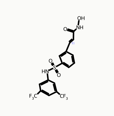 O=C(/C=C/c1cccc(S(=O)(=O)Nc2cc(C(F)(F)F)cc(C(F)(F)F)c2)c1)NO